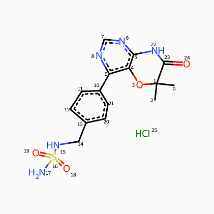 CC1(C)Oc2c(ncnc2-c2ccc(CNS(N)(=O)=O)cc2)NC1=O.Cl